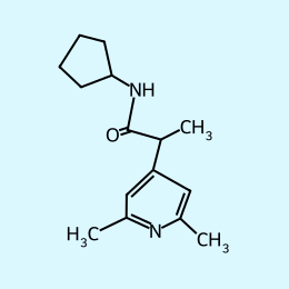 Cc1cc(C(C)C(=O)NC2CCCC2)cc(C)n1